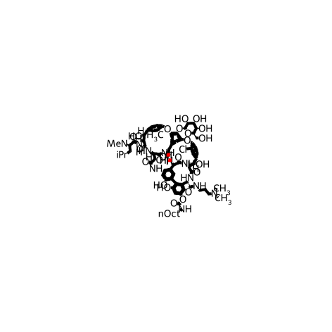 CCCCCCCCNC(=O)Oc1cc(O)c2c(c1)[C@@H](C(=O)NCCCN(C)C)NC(=O)[C@H]1NC(=O)[C@H](NC(=O)[C@@H]3NC(=O)[C@H](CC(N)=O)NC(=O)[C@H](NC(=O)[C@@H](CC(C)C)NC)[C@H](O)c4ccc(c(C)c4)Oc4cc3cc(c4O[C@@H]3O[C@H](CO)[C@@H](O)[C@H](O)[C@H]3O)Oc3ccc(cc3Cl)[C@H]1O)c1ccc(O)c-2c1